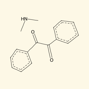 CNC.O=C(C(=O)c1ccccc1)c1ccccc1